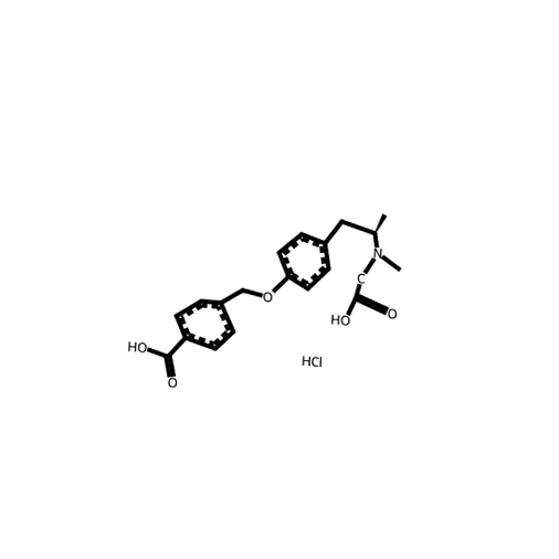 C[C@H](Cc1ccc(OCc2ccc(C(=O)O)cc2)cc1)N(C)CC(=O)O.Cl